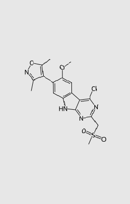 COc1cc2c(cc1-c1c(C)noc1C)[nH]c1nc(CS(C)(=O)=O)nc(Cl)c12